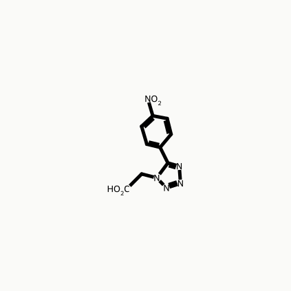 O=C(O)Cn1nnnc1-c1ccc([N+](=O)[O-])cc1